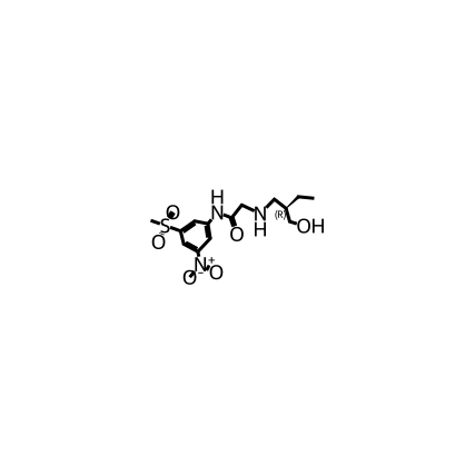 CC[C@@H](CO)CNCC(=O)Nc1cc([N+](=O)[O-])cc(S(C)(=O)=O)c1